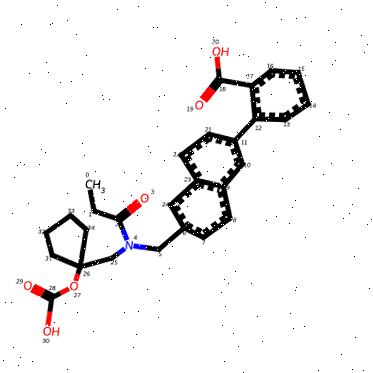 CCC(=O)N(Cc1ccc2cc(-c3ccccc3C(=O)O)ccc2c1)CC1(OC(=O)O)CCCC1